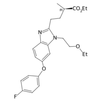 CCOCCn1c(CC[C@@H](C)C(=O)OCC)nc2ccc(Oc3ccc(F)cc3)cc21